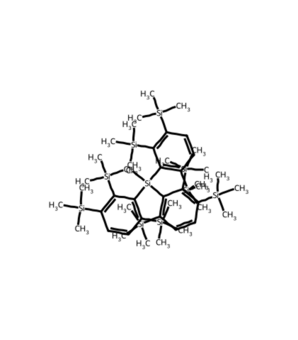 C[Si](C)(C)c1ccc([Si](C)(C)C)c([Si](Cl)(c2c([Si](C)(C)C)ccc([Si](C)(C)C)c2[Si](C)(C)C)c2c([Si](C)(C)C)ccc([Si](C)(C)C)c2[Si](C)(C)C)c1[Si](C)(C)C